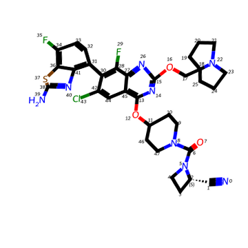 N#C[C@@H]1CCN1C(=O)N1CCC(Oc2nc(OCC34CCCN3CCC4)nc3c(F)c(-c4ccc(F)c5sc(N)nc45)c(Cl)cc23)CC1